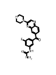 NC(=O)Nc1cc(F)cc(C(=O)c2ccc3ncc(N4CCOCC4)nc3c2)c1